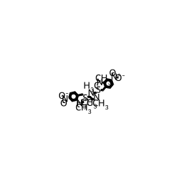 CN(C)c1cc([N+](=O)[O-])ccc1CSC1=NC(C)(C)C(SCc2ccc([N+](=O)[O-])cc2N(C)C)=N1